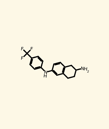 NC1CCc2cc(Nc3ccc(C(F)(F)F)cc3)ccc2C1